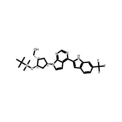 CC(C)(C)[Si](C)(C)O[C@@H]1C[C@H](n2ccc3c(-c4cc5ccc(C(F)(F)F)cc5[nH]4)ncnc32)C[C@H]1CO